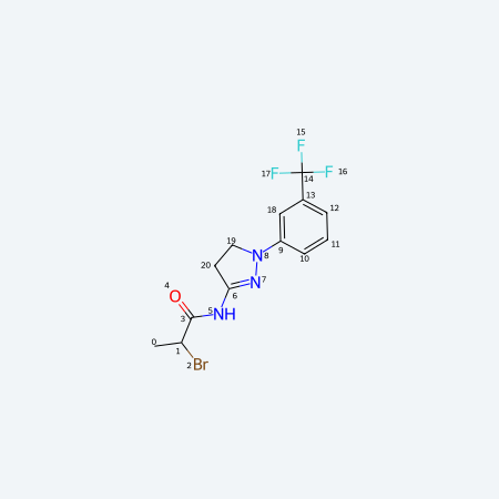 CC(Br)C(=O)NC1=NN(c2cccc(C(F)(F)F)c2)CC1